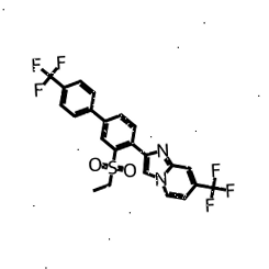 CCS(=O)(=O)c1cc(-c2ccc(C(F)(F)F)cc2)ccc1-c1cn2ccc(C(F)(F)F)cc2n1